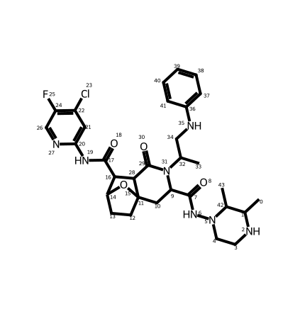 CC1NCCN(NC(=O)C2CC34CCC(O3)C(C(=O)Nc3cc(Cl)c(F)cn3)C4C(=O)N2C(C)CNc2ccccc2)C1C